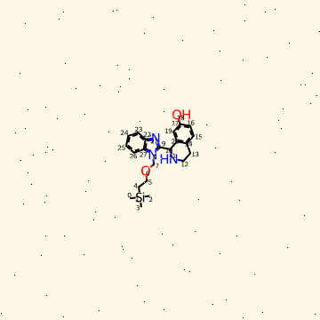 C[Si](C)(C)CCOCn1c(C2NCCc3ccc(O)cc32)nc2ccccc21